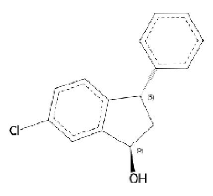 O[C@@H]1C[C@@H](c2ccccc2)c2ccc(Cl)cc21